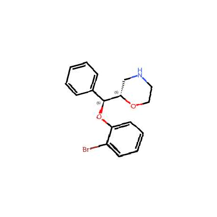 Brc1ccccc1O[C@@H](c1ccccc1)[C@@H]1CNCCO1